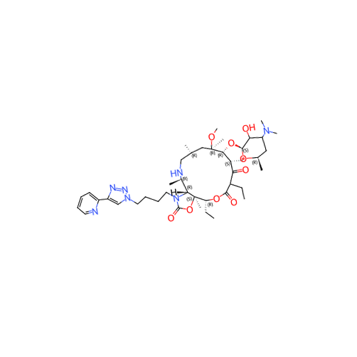 CCC1C(=O)O[C@H](CC)[C@@]2(C)OC(=O)N(CCCCn3cc(-c4ccccn4)nn3)[C@@H]2[C@@H](C)NC[C@H](C)C[C@@](C)(OC)[C@H](O[C@@H]2O[C@H](C)CC(N(C)C)C2O)[C@H](C)C1=O